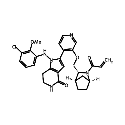 C=CC(=O)N1[C@H]2CC[C@H](C2)[C@@H]1COc1cnccc1-c1cc2c(n1Nc1cccc(Cl)c1OC)CCNC2=O